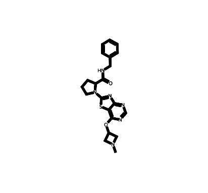 CN1CC(Oc2ncnc3nc(N4CCCC4C(=O)NCc4ccccc4)sc23)C1